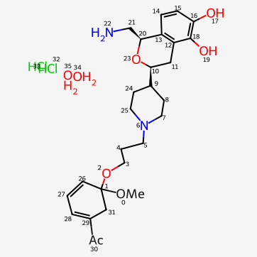 COC1(OCCCN2CCC([C@@H]3Cc4c(ccc(O)c4O)[C@H](CN)O3)CC2)C=CC=C(C(C)=O)C1.Cl.Cl.O.O